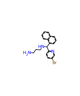 NCCCNC(c1ccc(Br)cn1)c1cccc2ccccc12